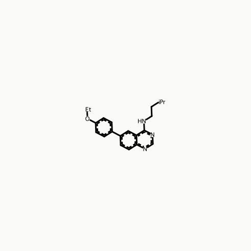 CCOc1ccc(-c2ccc3ncnc(NCCC(C)C)c3c2)cc1